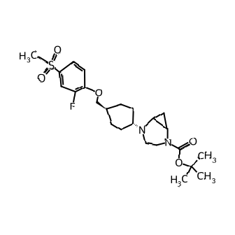 CC(C)(C)OC(=O)N1CCN([C@H]2CC[C@H](COc3ccc(S(C)(=O)=O)cc3F)CC2)C2CC21